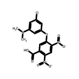 CN(C)c1cc(Cl)cc(Oc2cc(C(=O)O)c([N+](=O)[O-])cc2[N+](=O)[O-])c1